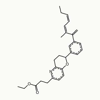 C=C(/C(C)=C\C=C/CC)c1cccc(C2CCc3nc(CCC(=O)OCC)ccc3O2)c1